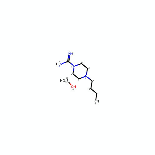 N#CCCCN1CCN(C(=N)N)CC1.O=S(=O)(O)O